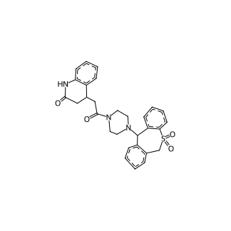 O=C1CC(CC(=O)N2CCN(C3c4ccccc4CS(=O)(=O)c4ccccc43)CC2)c2ccccc2N1